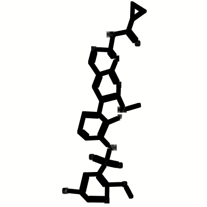 CNc1nc2nc(NC(=O)C3CC3)ncc2cc1-c1cccc(NS(=O)(=O)c2cc(Cl)cnc2OC)c1F